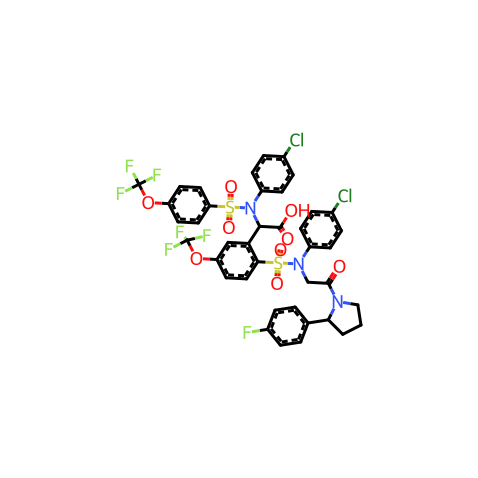 O=C(O)C(c1cc(OC(F)(F)F)ccc1S(=O)(=O)N(CC(=O)N1CCCC1c1ccc(F)cc1)c1ccc(Cl)cc1)N(c1ccc(Cl)cc1)S(=O)(=O)c1ccc(OC(F)(F)F)cc1